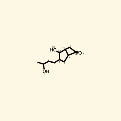 CC(O)CCC1CC2C(=O)CC2C1O